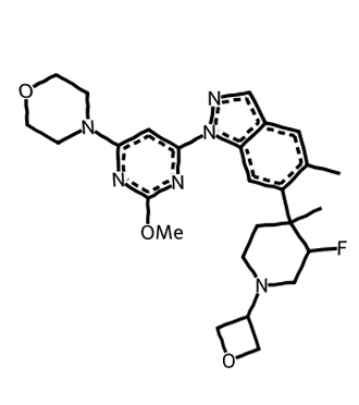 COc1nc(N2CCOCC2)cc(-n2ncc3cc(C)c(C4(C)CCN(C5COC5)CC4F)cc32)n1